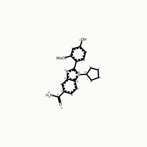 COc1cc(O)ccc1-c1nc2cc(C(N)=O)ccc2n1C1CCCC1